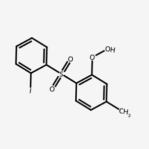 Cc1ccc(S(=O)(=O)c2ccccc2I)c(OO)c1